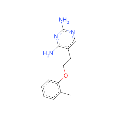 Cc1ccccc1OCCc1cnc(N)nc1N